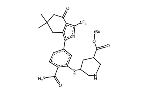 CC1(C)CC(=O)c2c(C(F)(F)F)nn(-c3ccc(C(N)=O)c(NC4CNCC(C(=O)OC(C)(C)C)C4)c3)c2C1